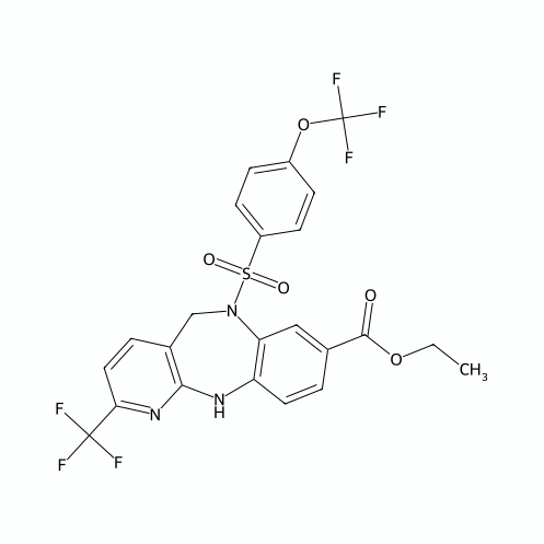 CCOC(=O)c1ccc2c(c1)N(S(=O)(=O)c1ccc(OC(F)(F)F)cc1)Cc1ccc(C(F)(F)F)nc1N2